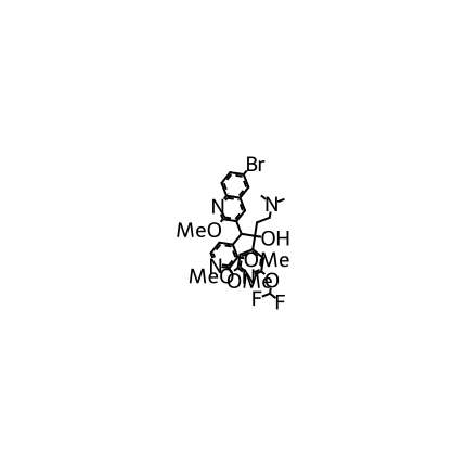 COc1cc(C(O)(CCN(C)C)C(c2cc3cc(Br)ccc3nc2OC)c2ccnc(OC)c2OC)cc(OC(F)F)n1